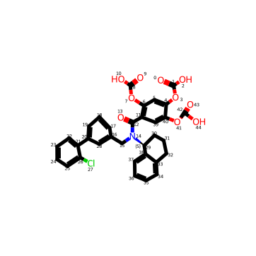 O=C(O)Oc1cc(OC(=O)O)c(C(=O)N(Cc2cccc(-c3ccccc3Cl)c2)[C@H]2CCCc3ccccc32)cc1OC(=O)O